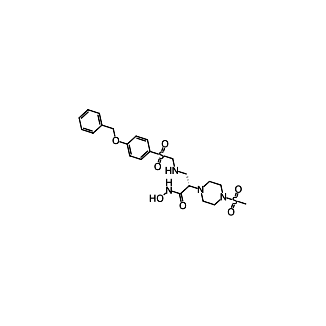 CS(=O)(=O)N1CCN([C@@H](CNCS(=O)(=O)c2ccc(OCc3ccccc3)cc2)C(=O)NO)CC1